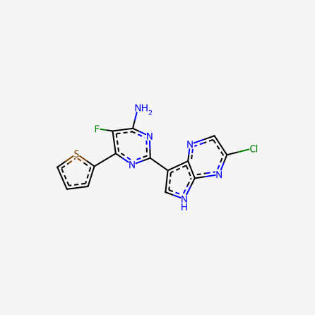 Nc1nc(-c2c[nH]c3nc(Cl)cnc23)nc(-c2cccs2)c1F